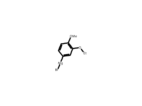 CCOc1c[c]([Mg][Br])ccc1OC